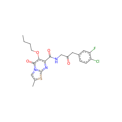 CCCCOc1c(C(=O)NCC(=O)Cc2ccc(Cl)c(F)c2)nc2sc(C)cn2c1=O